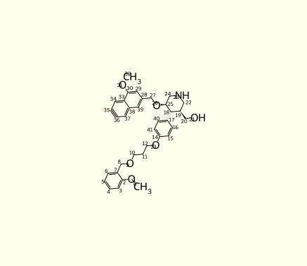 COc1ccccc1COCCCOc1ccc([C@H]2[C@H](CO)CNC[C@@H]2OCc2cc(OC)c3cc#ccc3c2)cc1